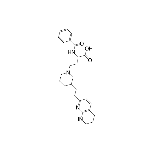 O=C(N[C@@H](CCN1CCCC(CCc2ccc3c(n2)NCCC3)C1)C(=O)O)c1ccccc1